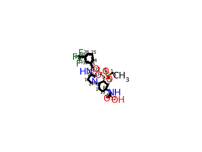 CCS(=O)(=O)C[C@@H]1CC(NC(=O)O)CC[C@@H]1N1CCC(NC(=O)c2cccc(C(F)(F)F)c2)C1=O